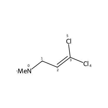 C[N]CC=C(Cl)Cl